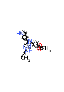 CCCCNc1ncc2c(-c3ccc4[nH]ccc4c3)nc(C3CCC(OC(C)=O)CC3)n2n1